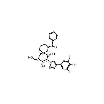 O=C(c1ccncc1)N1CCC[C@]2(C1)O[C@H](CO)[C@H](O)[C@H](n1cc(-c3cc(F)c(F)c(F)c3)nn1)[C@H]2O